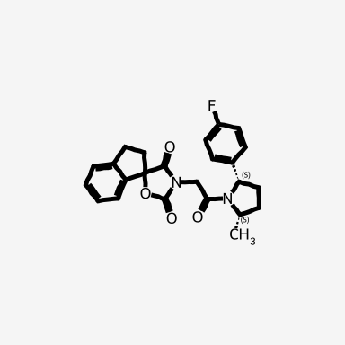 C[C@H]1CC[C@@H](c2ccc(F)cc2)N1C(=O)CN1C(=O)OC2(CCc3ccccc32)C1=O